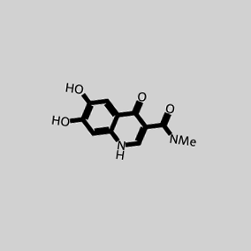 CNC(=O)c1c[nH]c2cc(O)c(O)cc2c1=O